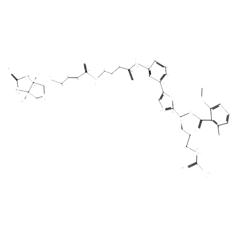 COc1cccc(Cl)c1C(=O)N[C@@H](CCCNC(=O)O)c1ncc(-c2cccc(NC(=O)CCCNC(=O)CCCC[C@@H]3SC[C@@H]4NC(=O)N[C@@H]43)c2)o1